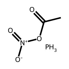 CC(=O)O[N+](=O)[O-].P